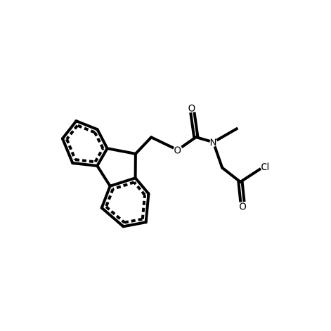 CN(CC(=O)Cl)C(=O)OCC1c2ccccc2-c2ccccc21